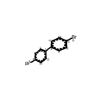 Brc1[c]cc(-c2c[c]c(Br)cc2)cc1